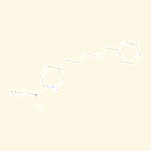 COC(=O)c1ccc(CCCOCc2ccccc2)cn1